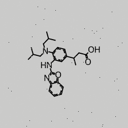 CC(C)CN(CC(C)C)c1ccc(C(C)CC(=O)O)cc1Nc1nc2ccccc2o1